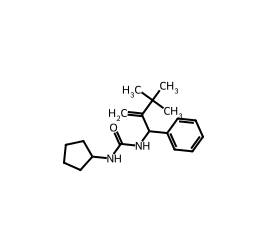 C=C(C(NC(=O)NC1CCCC1)c1ccccc1)C(C)(C)C